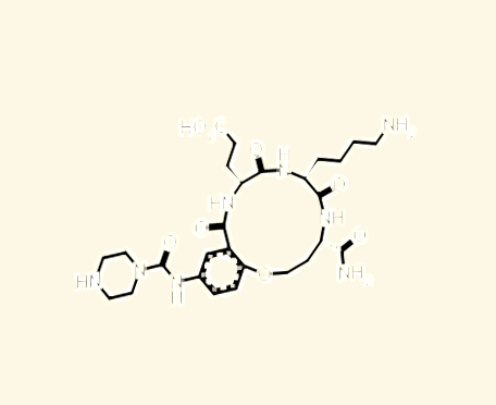 NCCCC[C@@H]1NC(=O)[C@H](CCC(=O)O)NC(=O)c2cc(NC(=O)N3CCNCC3)ccc2OCC[C@@H](C(N)=O)NC1=O